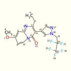 CCc1nc2cc(OC)ccn2c(=O)c1-c1cnn(CC(F)(F)C(F)(F)F)c1